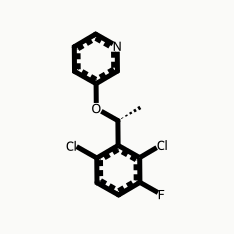 C[C@@H](Oc1cccnc1)c1c(Cl)ccc(F)c1Cl